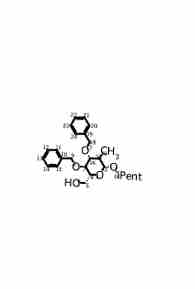 CCC[C@@H](C)O[C@@H]1O[C@H](CO)[C@@H](OCc2ccccc2)[C@H](OCc2ccccc2)[C@H]1C